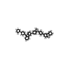 c1ccc(-c2ccc(-n3c4ccccc4c4cc(-c5ccc6c(c5)CCN6c5ccc(-c6ccc7oc8ccccc8c7c6)cc5)ccc43)cc2)cc1